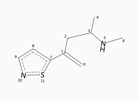 C=C(CC(C)NC)c1ccns1